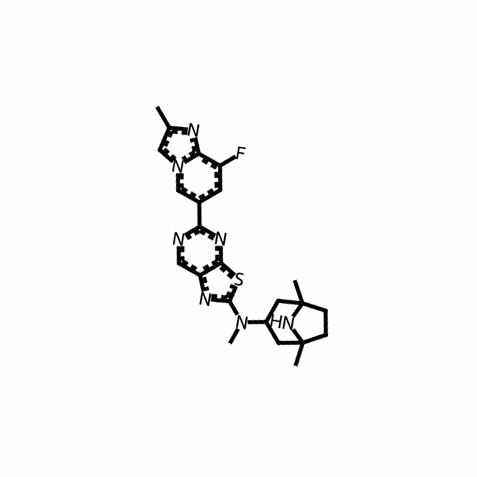 Cc1cn2cc(-c3ncc4nc(N(C)C5CC6(C)CCC(C)(C5)N6)sc4n3)cc(F)c2n1